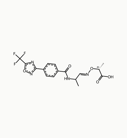 CC(C=NO[C@H](C)C(=O)O)NC(=O)c1ccc(-c2noc(C(F)(F)F)n2)cc1